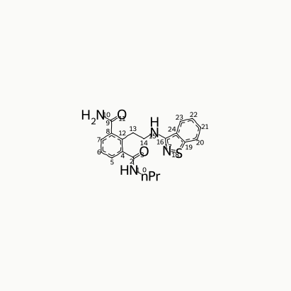 CCCNC(=O)c1cccc(C(N)=O)c1CCNc1nsc2ccccc12